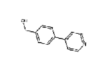 OCc1ccc(-c2ccnnc2)cc1